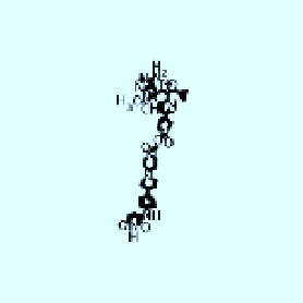 CC(C)n1nc(-c2noc(C3CC3)c2-c2ccc(C3CCN(C(=O)OCC(=O)N4CCC(N5CCC(c6ccc(NC7CCC(=O)NC7=O)cc6)CC5)CC4)CC3)cn2)c2c(N)ncnc21